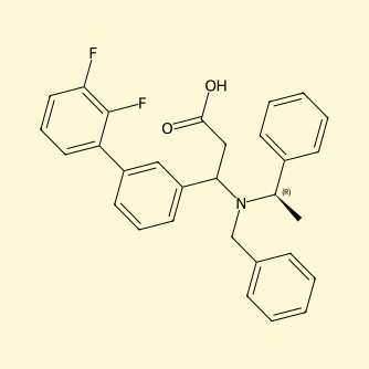 C[C@H](c1ccccc1)N(Cc1ccccc1)C(CC(=O)O)c1cccc(-c2cccc(F)c2F)c1